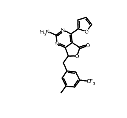 Cc1cc(CC2OC(=O)c3c(-c4ccco4)nc(N)nc32)cc(C(F)(F)F)c1